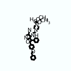 CC(C)(C)OC(=O)N1CCN(CCNc2c(C#N)cnc3oc(-c4ccc(OCc5ccccc5)cc4)c(-c4ccccc4)c23)CC1